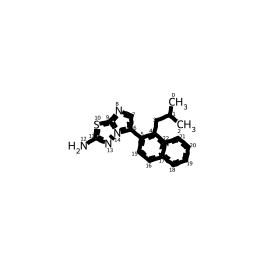 CC(C)Cc1c(-c2cnc3sc(N)nn23)ccc2ccccc12